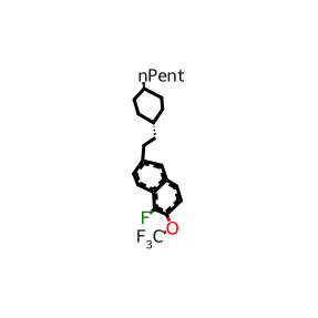 CCCCC[C@H]1CC[C@H](CCc2ccc3c(F)c(OC(F)(F)F)ccc3c2)CC1